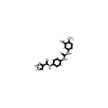 Cc1ccc(NC(=S)Nc2ccc(NC(=O)c3csnn3)cc2)cc1Cl